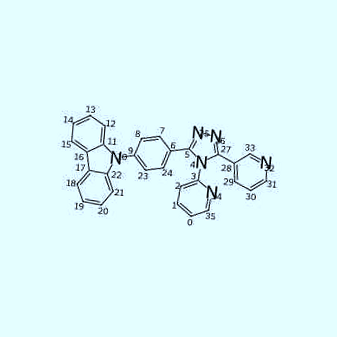 c1ccc(-n2c(-c3ccc(-n4c5ccccc5c5ccccc54)cc3)nnc2-c2cccnc2)nc1